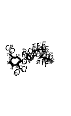 O=C(Cl)c1ccc(COCl)cc1OC(F)(F)C(F)(Br)OC(F)(F)C(F)(OC(F)(F)C(F)(F)C(F)(F)F)C(F)(F)F